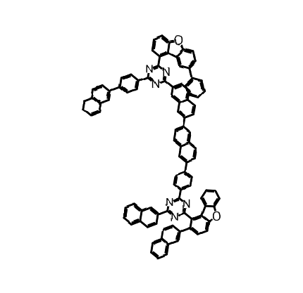 C1=Cc2cc(-c3ccc(-c4nc(-c5ccc6ccc(-c7ccc8cc(-c9ccc(-c%10nc(-c%11ccc%12ccccc%12c%11)nc(-c%11c(-c%12ccc%13ccccc%13c%12)ccc%12oc%13ccccc%13c%11%12)n%10)cc9)ccc8c7)cc6c5)nc(-c5cccc6oc7ccc(-c8ccccc8)cc7c56)n4)cc3)ccc2CC1